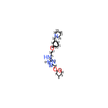 Cn1nc(COC2CCCCO2)nc1NCCCOc1cccc(CN2CCCCC2)c1